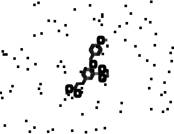 COC(=O)CCc1ccc(OCc2ccc(OC)cc2)c(C2OCCO2)c1